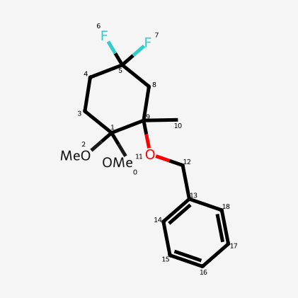 COC1(OC)CCC(F)(F)CC1(C)OCc1ccccc1